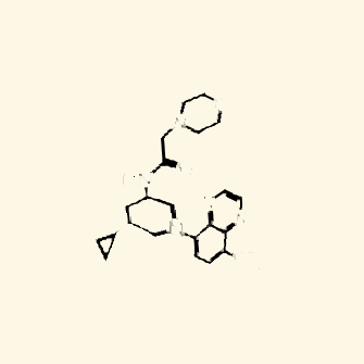 O=C(CN1CCOCC1)N[C@@H]1C[C@H](C2CC2)CN(c2ccc(C(F)(F)F)c3nccnc23)C1